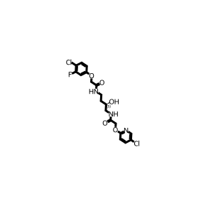 O=C(COc1ccc(Cl)c(F)c1)NCC[C@H](O)CNC(=O)COc1ccc(Cl)cn1